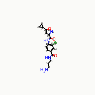 NCCCNC(=O)c1ccc(NC(=O)c2cc(C3CC3)on2)c(Br)c1